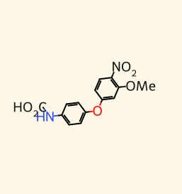 COc1cc(Oc2ccc(NC(=O)O)cc2)ccc1[N+](=O)[O-]